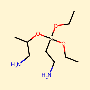 CCO[Si](CCN)(OCC)OC(C)CN